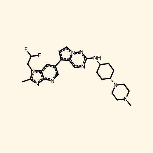 Cc1nc2ncc(-c3ccn4nc(N[C@H]5CC[C@@H](N6CCN(C)CC6)CC5)ncc34)cc2n1CC(F)F